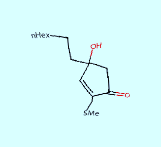 CCCCCCCCC1(O)C=C(SC)C(=O)C1